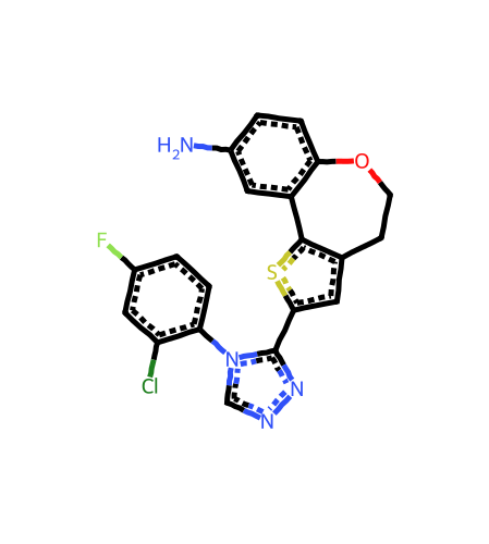 Nc1ccc2c(c1)-c1sc(-c3nncn3-c3ccc(F)cc3Cl)cc1CCO2